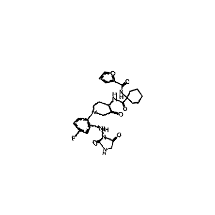 O=C(NC1(C(=O)NC2CCN(c3ccc(F)cc3NN3C(=O)CNC3=O)CC2=O)CCCCC1)c1ccco1